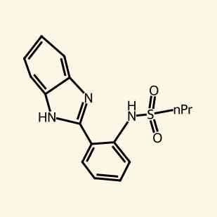 CCCS(=O)(=O)Nc1ccccc1-c1nc2ccccc2[nH]1